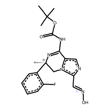 CC(C)(C)OC(=O)NC1=N[C@](C)(c2ccccc2F)Cn2c1cnc2/C=N/O